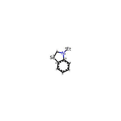 CCN1C[Se]c2ccccc21